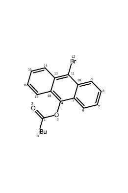 CCC(C)C(=O)Oc1c2ccccc2c(Br)c2ccccc12